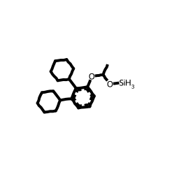 CC(O[SiH3])Oc1cccc(C2CCCCC2)c1C1CCCCC1